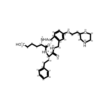 CC(=O)N[C@@H](CCCC(=O)O)C(=O)N[C@@H](CCc1ccccc1)C(=O)NCc1cc(OCCC2CNCCO2)ccc1C